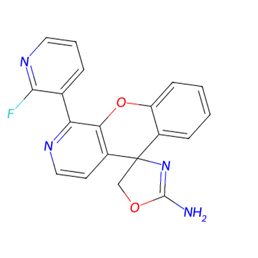 NC1=NC2(CO1)c1ccccc1Oc1c2ccnc1-c1cccnc1F